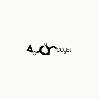 CCOC(=O)Cc1ccc(OC2CC2)cn1